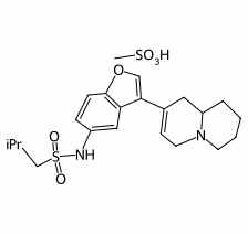 CC(C)CS(=O)(=O)Nc1ccc2occ(C3=CCN4CCCCC4C3)c2c1.CS(=O)(=O)O